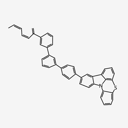 C=C(/C=C\C=C/C)c1cccc(-c2cccc(-c3ccc(-c4ccc5c(c4)c4cccc6c4n5-c4ccccc4S6)cc3)c2)c1